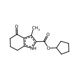 Cc1c(C(=O)OC2CCCC2)[nH]c2c1C(=O)CCC2